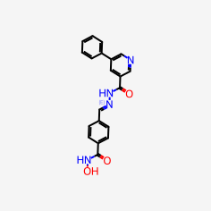 O=C(NO)c1ccc(/C=N/NC(=O)c2cncc(-c3ccccc3)c2)cc1